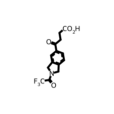 O=C(O)CCC(=O)c1ccc2c(c1)CN(C(=O)C(F)(F)F)C2